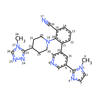 Cn1ccnc1-c1cncc(-c2cccc(C#N)c2N2CCC(c3nncn3C)CC2)c1